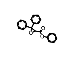 O=C(Oc1ccccc1)C1OC1(c1ccccc1)c1ccccc1